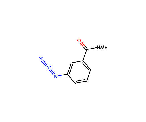 CNC(=O)c1cccc(N=[N+]=[N-])c1